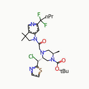 CCCC(F)(F)c1cc2c(cn1)C(C)(C)CN2C(=O)CN1C[C@@H](C)N(C(=O)OC(C)(C)C)C[C@@H]1C(Cl)c1nccs1